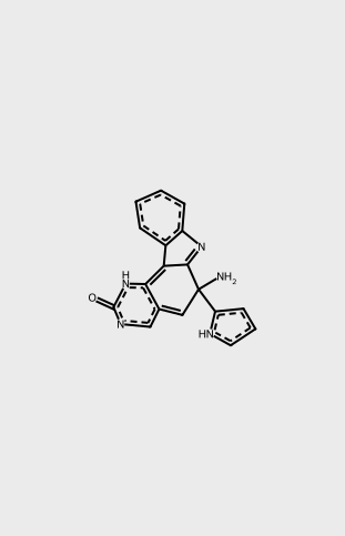 NC1(c2ccc[nH]2)C=c2cnc(=O)[nH]c2=C2C1=Nc1ccccc12